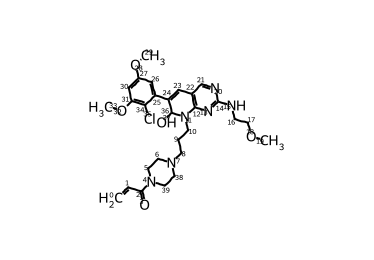 C=CC(=O)N1CCN(CCCN2c3nc(NCCOC)ncc3C=C(c3cc(OC)cc(OC)c3Cl)C2O)CC1